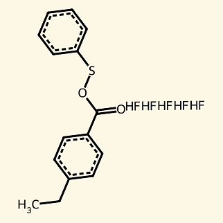 CCc1ccc(C(=O)OSc2ccccc2)cc1.F.F.F.F.F